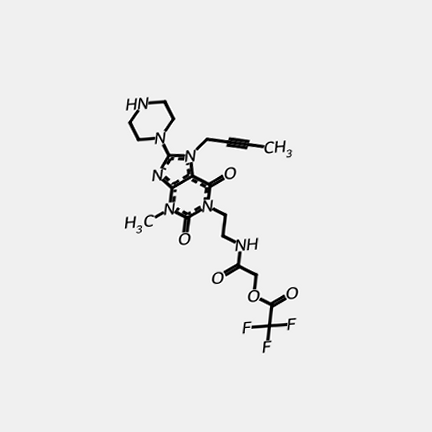 CC#CCn1c(N2CCNCC2)nc2c1c(=O)n(CCNC(=O)COC(=O)C(F)(F)F)c(=O)n2C